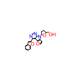 OCC1CCC(n2c3ccoc3c3c(-c4cc5ccccc5o4)ncnc32)O1